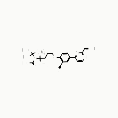 C=Cc1nccc(-c2ccc(OC[C@@H](C)CC(C)(C)N(C(=O)O)C(C)(C)C)c(C#N)c2)n1